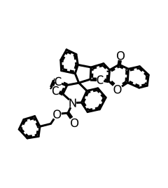 O=C(OCc1ccccc1)N1c2ccccc2C2(c3ccccc3-c3cc4c(=O)c5ccccc5oc4cc32)c2ccccc21